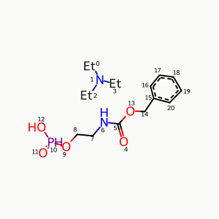 CCN(CC)CC.O=C(NCCO[PH](=O)O)OCc1ccccc1